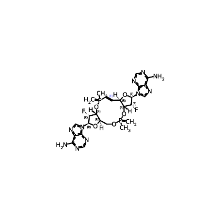 C=P1(C)/C=C/[C@H]2O[C@@H](n3cnc4c(N)ncnc43)[C@H](F)[C@@H]2OP(=C)(C)OC[C@H]2O[C@@H](n3cnc4c(N)ncnc43)[C@H](F)[C@@H]2O1